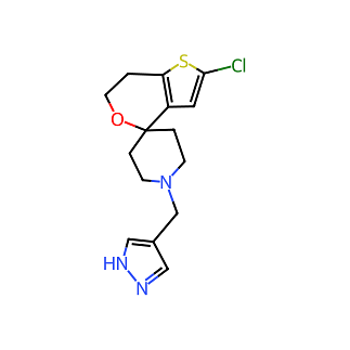 Clc1cc2c(s1)CCOC21CCN(Cc2cn[nH]c2)CC1